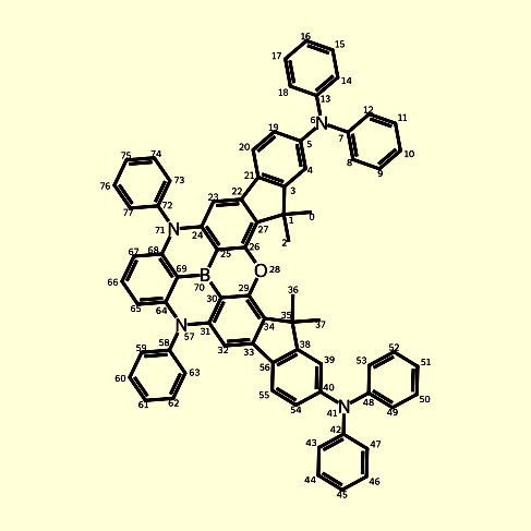 CC1(C)c2cc(N(c3ccccc3)c3ccccc3)ccc2-c2cc3c4c(c21)Oc1c2c(cc5c1C(C)(C)c1cc(N(c6ccccc6)c6ccccc6)ccc1-5)N(c1ccccc1)c1cccc(c1B42)N3c1ccccc1